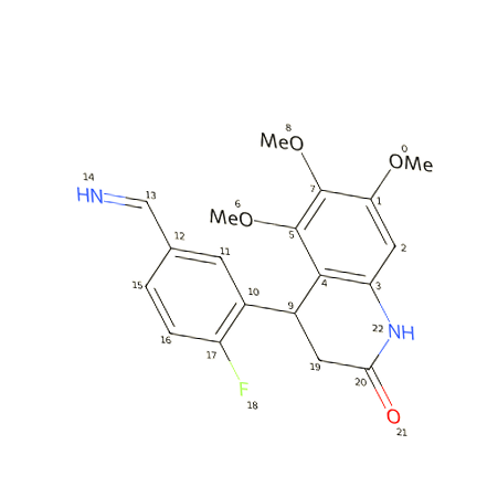 COc1cc2c(c(OC)c1OC)C(c1cc(C=N)ccc1F)CC(=O)N2